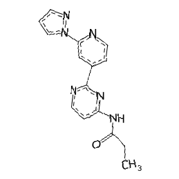 CCC(=O)Nc1ccnc(-c2ccnc(-n3cccn3)c2)n1